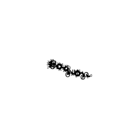 CCOC(=O)Cc1ccc(CNC(=O)c2cc(-c3ccc(B4OC(C)(C)C(C)(C)O4)cc3)cs2)cc1